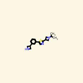 CC(C)N1CC(c2ncc(-c3cccc(C4CNC4)c3)s2)C1